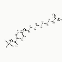 CC(C)(C)OC(=O)c1ccc(OCCCCCCCCCC(=O)O)cc1